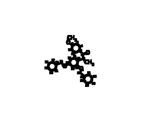 COc1ccc(C(=O)C(C)c2ccc(OCc3ccccc3)cc2OCc2ccccc2)cc1